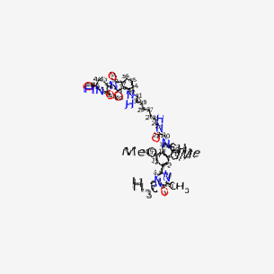 COc1cc(-c2cn(C)c(=O)c(C)n2)cc(OC)c1CN(C)CC(=O)NCCCCCCCCNc1cccc2c1C(=O)N(C1CCC(=O)NC1=O)C2=O